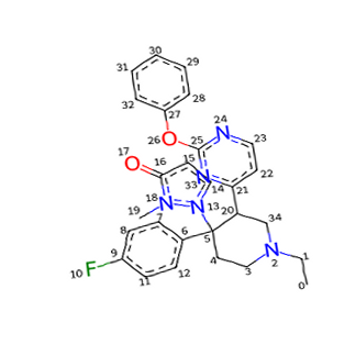 CCN1CCC(c2ccc(F)cc2)(n2ccc(=O)n2C)C(c2ccnc(Oc3ccccc3)n2)C1